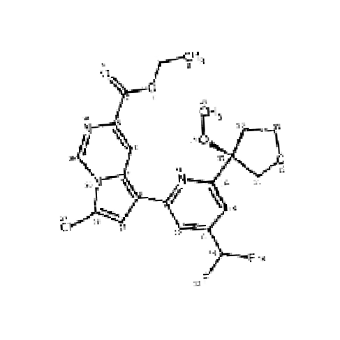 CCOC(=O)c1cc2c(-c3cc(C(F)F)cc([C@]4(OC)CCOC4)n3)cc(Cl)n2cn1